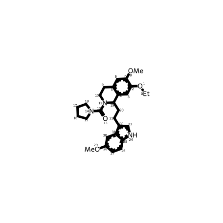 CCOc1cc2c(cc1OC)CCN(C(=O)N1CCCC1)C2CCc1c[nH]c2ccc(OC)cc12